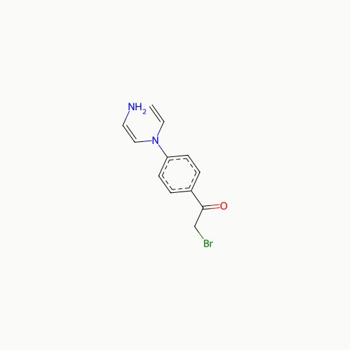 C=CN(/C=C\N)c1ccc(C(=O)CBr)cc1